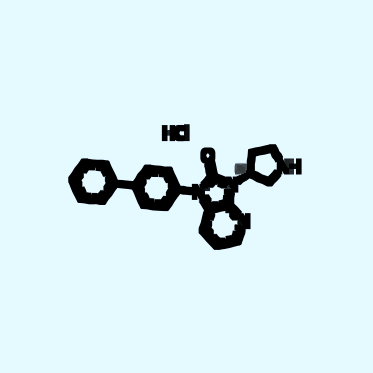 Cl.O=c1n(-c2ccc(-c3ccccc3)cc2)c2cccnc2n1[C@H]1CCNC1